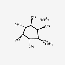 O[C@H]1[C@H](O)[C@@H](O)[C@H](O)[C@@H](O)[C@H]1O.[CaH2].[MgH2]